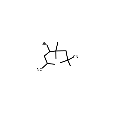 CC(C#N)CC(C(C)(C)C)C(C)(C)CC(C)(C)C#N